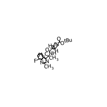 Cc1nc(C(C)(C)NC(=O)[C@H]2[C@@H]3CN(C(=O)OC(C)(C)C)C[C@@H]32)c2cccc(F)c2n1